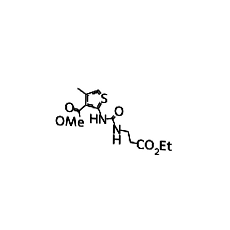 CCOC(=O)CCNC(=O)Nc1scc(C)c1C(=O)OC